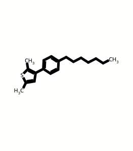 CCCCCCCc1ccc(-c2cc(C)sc2C)cc1